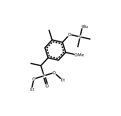 CCOP(=O)(OCC)C(C)c1cc(C)c(O[Si](C)(C)C(C)(C)C)c(OC)c1